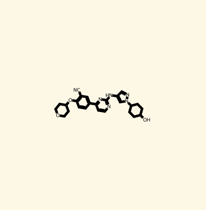 N#Cc1cc(-c2ccnc(Nc3cnn(C4CCC(O)CC4)c3)n2)ccc1OC1CCOCC1